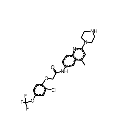 Cc1cc(N2CCNCC2)nc2ccc(NC(=O)COc3ccc(OC(F)(F)F)cc3Cl)cc12